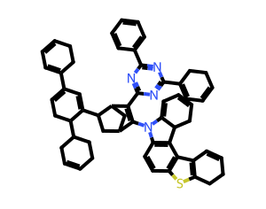 C1=CCCC(C2=CCC(C3CC=CCC3)C(C3CC4CC3C(c3nc(C5=CC=CCC5)nc(-c5ccccc5)n3)=C4N3C4=CC=CCC4c4c3ccc3sc5c(c43)C=CCC5)=C2)=C1